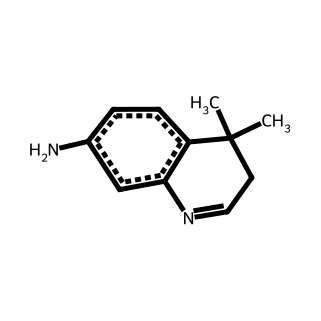 CC1(C)CC=Nc2cc(N)ccc21